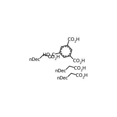 CCCCCCCCCCCC(=O)O.CCCCCCCCCCCC(=O)O.CCCCCCCCCCCC(=O)O.O=C(O)c1cc(C(=O)O)cc(C(=O)O)c1